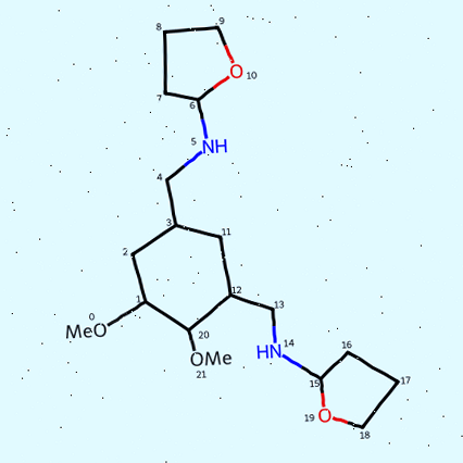 COC1CC(CNC2CCCO2)CC(CNC2CCCO2)C1OC